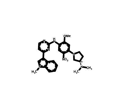 COc1cc(N2CC[C@H](N(C)C)C2)c([N+](=O)[O-])cc1Nc1nccc(-c2cn(C)c3ccccc23)n1